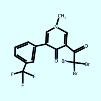 Cn1cc(C(=O)C(Br)(Br)Br)c(=O)c(-c2cccc(C(F)(F)F)c2)c1